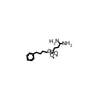 CO[Si](CCC(N)N)(OC)OCCCCc1ccccc1